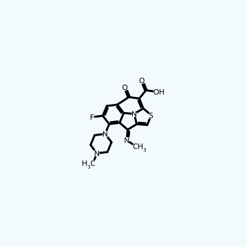 CN=c1c2c(N3CCN(C)CC3)c(F)cc3c(=O)c(C(=O)O)c4scc1n4c32